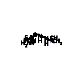 C/C=C(\C)CCNCCCNCC1CCC(n2cc(-c3nccs3)c3c(N)ncnc32)C1